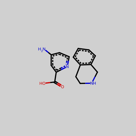 Nc1ccnc(C(=O)O)c1.c1ccc2c(c1)CCNC2